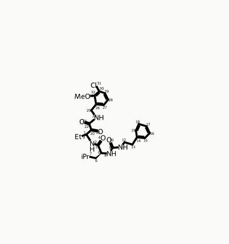 CCC(NC(=O)[C@H](CC(C)C)NC(=O)NCCc1ccccc1)C(=O)C(=O)NCc1cccc(Cl)c1OC